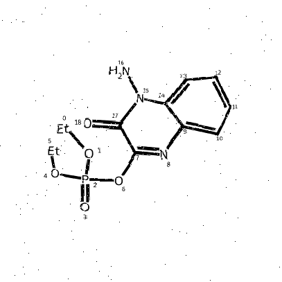 CCOP(=O)(OCC)Oc1nc2ccccc2n(N)c1=O